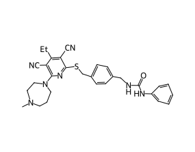 CCc1c(C#N)c(SCc2ccc(CNC(=O)Nc3ccccc3)cc2)nc(N2CCCN(C)CC2)c1C#N